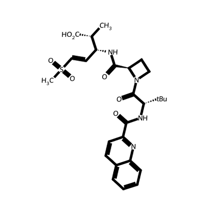 C[C@@H](C(=O)O)[C@@H](/C=C/S(C)(=O)=O)NC(=O)[C@H]1CCN1C(=O)[C@@H](NC(=O)c1ccc2ccccc2n1)C(C)(C)C